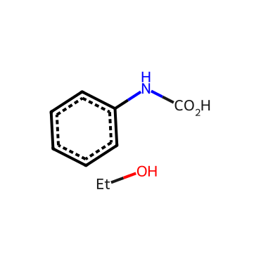 CCO.O=C(O)Nc1ccccc1